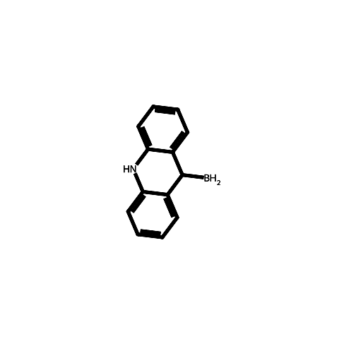 BC1c2ccccc2Nc2ccccc21